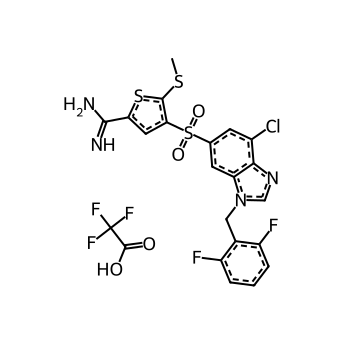 CSc1sc(C(=N)N)cc1S(=O)(=O)c1cc(Cl)c2ncn(Cc3c(F)cccc3F)c2c1.O=C(O)C(F)(F)F